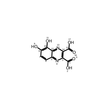 O=C(O)c1nc2ccc(O)c(O)c2nc1C(=O)O